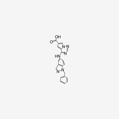 O=C(O)c1cc2c(Nc3ccc4c(cnn4Cc4ccccc4)c3)ncnn2c1